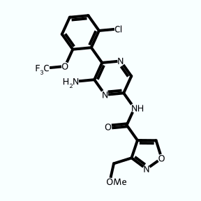 COCc1nocc1C(=O)Nc1cnc(-c2c(Cl)cccc2OC(F)(F)F)c(N)n1